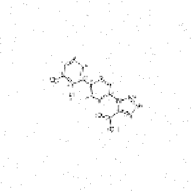 O=C(O)c1cnnn1-c1ccc(-c2cccc(Cl)c2Cl)cc1